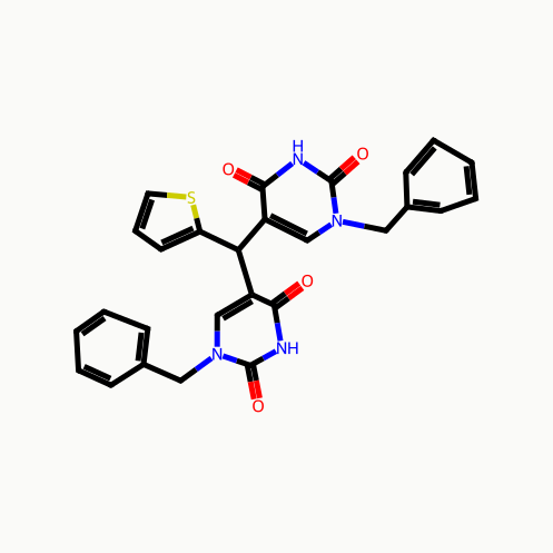 O=c1[nH]c(=O)n(Cc2ccccc2)cc1C(c1cccs1)c1cn(Cc2ccccc2)c(=O)[nH]c1=O